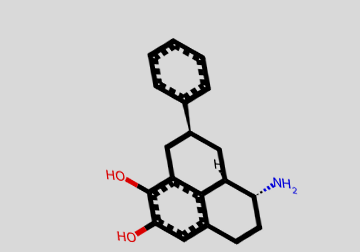 N[C@@H]1CCc2cc(O)c(O)c3c2[C@H]1C[C@H](c1ccccc1)C3